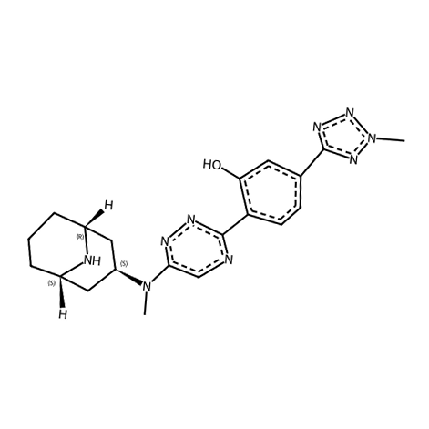 CN(c1cnc(-c2ccc(-c3nnn(C)n3)cc2O)nn1)[C@@H]1C[C@H]2CCC[C@@H](C1)N2